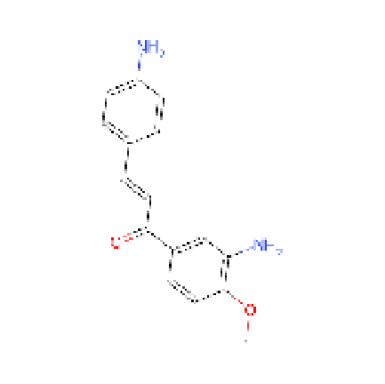 COc1ccc(C(=O)C=Cc2ccc(N)cc2)cc1N